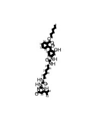 CCCCCCOC(=O)c1ccccc1C(=O)c1ccc(NC(=O)NCCCCCCNC(=O)Nc2nc(=O)cc(C(C)C)[nH]2)cc1O